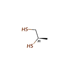 C[C@@H](S)CS